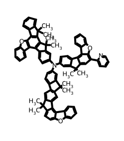 CC1(C)c2cc(N(c3ccc4c(c3)C(C)(C)c3cc(-c5ccccn5)c5oc6ccccc6c5c3-4)c3ccc4c(c3)C(C)(C)c3c5c(c6oc7ccccc7c6c3-4)-c3ccccc3C5(C)C)ccc2-c2cc3c(cc21)-c1c(ccc2oc4ccccc4c12)C3(C)C